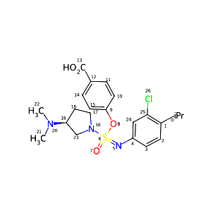 CC(C)c1ccc(N=S(=O)(Oc2ccc(C(=O)O)cc2)N2CC[C@H](N(C)C)C2)cc1Cl